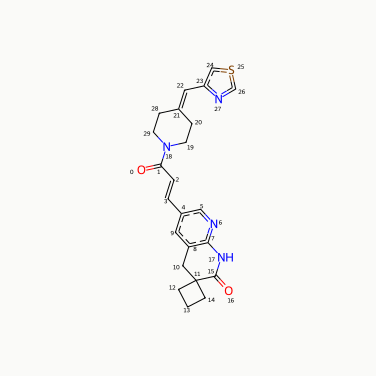 O=C(/C=C/c1cnc2c(c1)CC1(CCC1)C(=O)N2)N1CCC(=Cc2cscn2)CC1